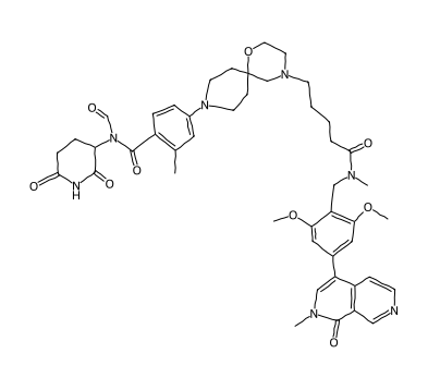 COc1cc(-c2cn(C)c(=O)c3cnccc23)cc(OC)c1CN(C)C(=O)CCCCN1CCOC2(CCN(c3ccc(C(=O)N(C=O)C4CCC(=O)NC4=O)c(C)c3)CC2)C1